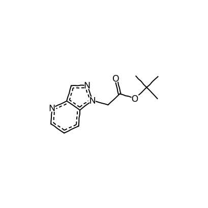 CC(C)(C)OC(=O)Cn1ncc2ncccc21